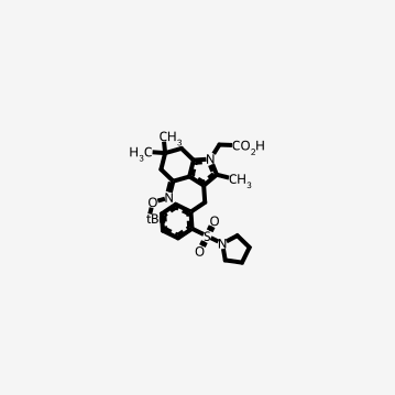 Cc1c(Cc2ccccc2S(=O)(=O)N2CCCC2)c2c(n1CC(=O)O)CC(C)(C)CC2=NOC(C)(C)C